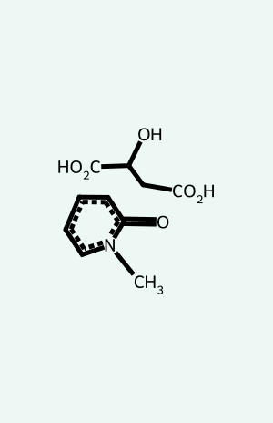 Cn1ccccc1=O.O=C(O)CC(O)C(=O)O